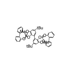 COc1cc(C(C)(C)C)cc(-c2cc(C(C)(C)C)cc(OC)c2Op2oc3ccccc3c3ccccc3o2)c1Op1oc2ccccc2c2ccccc2o1